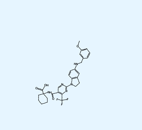 COc1cccc(CNc2ccc3c(c2)CCN3c2ncc(C(=O)NC3(C(=O)O)CCCCC3)c(C(F)(F)F)n2)c1